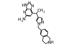 CC(c1cnn(Cc2ccc3c(c2)CCNC3)c1)c1cc(N)nc2[nH]nnc12